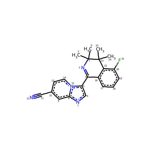 CC1(C)N=C(c2cnc3cc(C#N)ccn23)c2cccc(F)c2C1(C)C